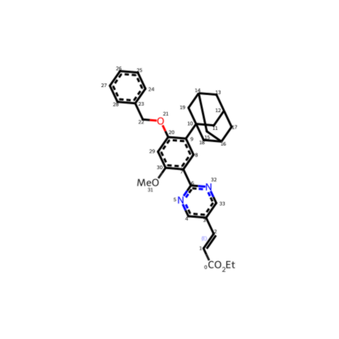 CCOC(=O)/C=C/c1cnc(-c2cc(C34CC5CC(CC(C5)C3)C4)c(OCc3ccccc3)cc2OC)nc1